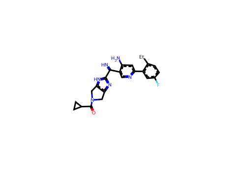 CCc1ccc(F)cc1-c1cc(N)c(C(=N)c2nc3c([nH]2)CN(C(=O)C2CC2)C3)cn1